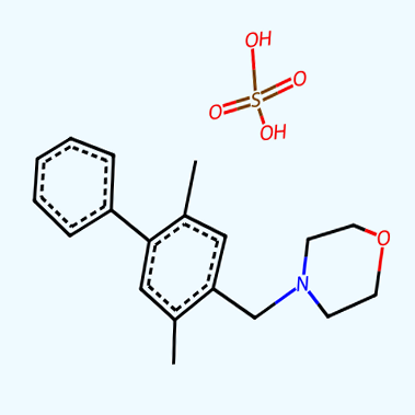 Cc1cc(-c2ccccc2)c(C)cc1CN1CCOCC1.O=S(=O)(O)O